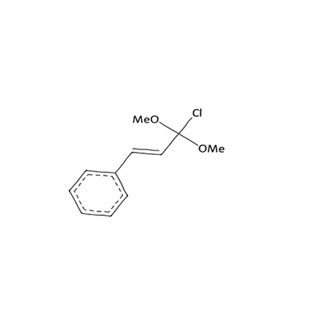 COC(Cl)(/C=C/c1ccccc1)OC